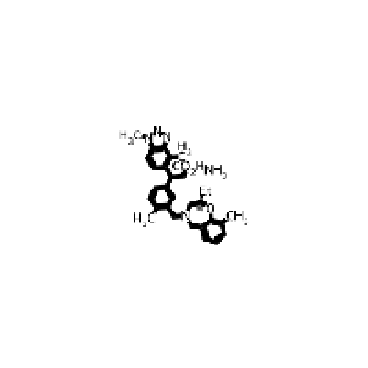 CC[C@@H]1CN(Cc2cc(C(CC(=O)O)c3ccc4c(nnn4C)c3C)ccc2C)Cc2cccc(C)c2O1.N